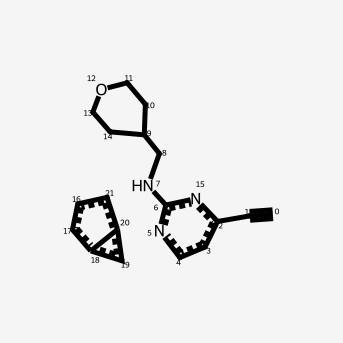 C#Cc1ccnc(NCC2CCOCC2)n1.c1cc2cc-2c1